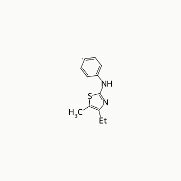 CCc1nc(Nc2cc[c]cc2)sc1C